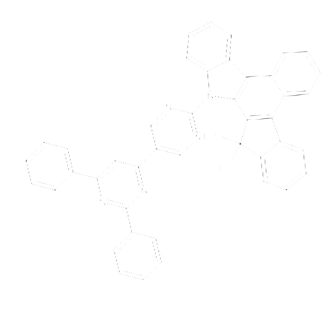 CC1(C)c2ccccc2-c2c1c1c(c3ccccc23)c2ccccc2n1-c1ncc(-c2cc(-c3ccccc3)nc(-c3ccccc3)n2)cn1